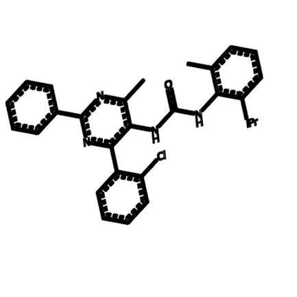 Cc1cccc(C(C)C)c1NC(=O)Nc1c(C)nc(-c2ccccc2)nc1-c1ccccc1Cl